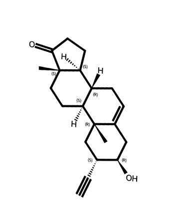 C#C[C@@H]1C[C@@]2(C)C(=CC[C@@H]3[C@@H]2CC[C@]2(C)C(=O)CC[C@@H]32)C[C@H]1O